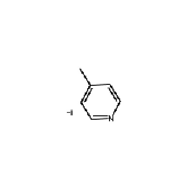 Cc1ccncc1.I